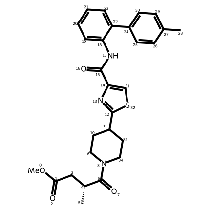 COC(=O)C[C@@H](C)C(=O)N1CCC(c2nc(C(=O)Nc3ccccc3-c3ccc(C)cc3)cs2)CC1